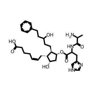 CC(N)C(=O)NC(Cc1c[nH]cn1)C(=O)O[C@@H]1C[C@H](O)[C@H](C/C=C\CCCC(=O)O)[C@H]1CCC(O)CCc1ccccc1